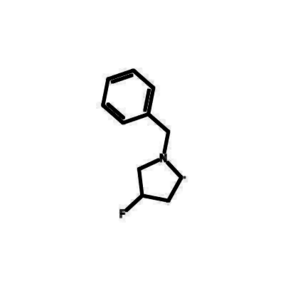 FC1C[CH]N(Cc2ccccc2)C1